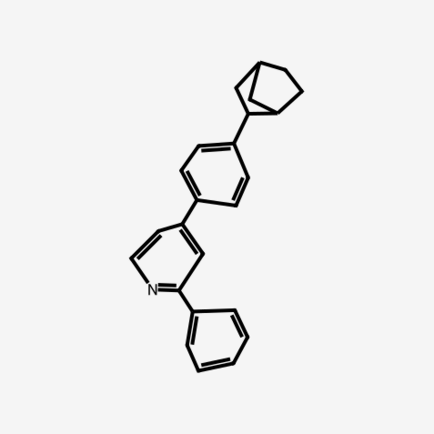 c1ccc(-c2cc(-c3ccc(C4CC5CCC4C5)cc3)ccn2)cc1